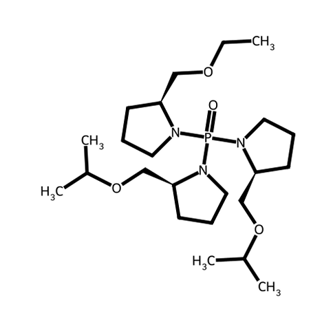 CCOC[C@@H]1CCCN1P(=O)(N1CCC[C@H]1COC(C)C)N1CCC[C@H]1COC(C)C